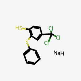 Sc1ccc(C(Cl)(Cl)Cl)cc1Sc1ccccc1.[NaH]